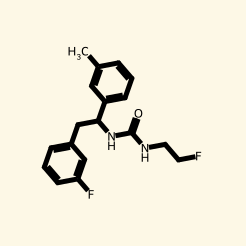 Cc1cccc(C(Cc2cccc(F)c2)NC(=O)NCCF)c1